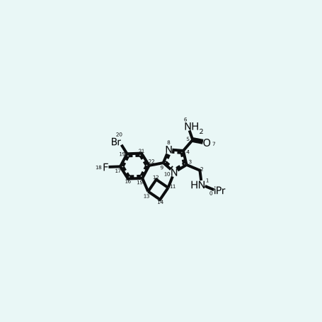 CC(C)NCc1c(C(N)=O)nc2n1C1CC(C1)c1cc(F)c(Br)cc1-2